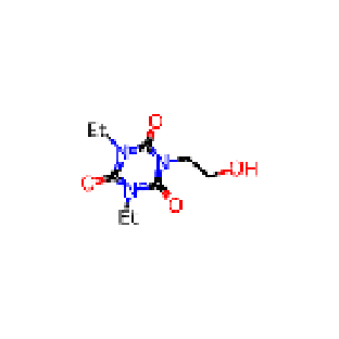 CCn1c(=O)n(CC)c(=O)n(CCO)c1=O